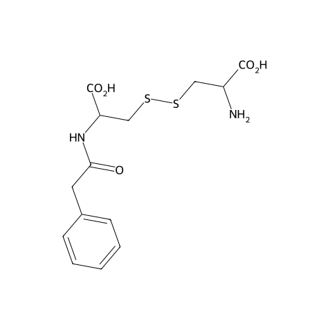 NC(CSSCC(NC(=O)Cc1ccccc1)C(=O)O)C(=O)O